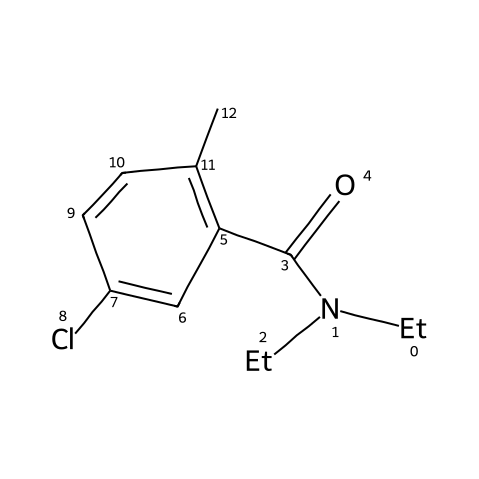 CCN(CC)C(=O)c1cc(Cl)ccc1C